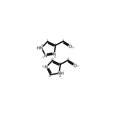 O=Cc1c[nH]nn1.O=[C]c1cnc[nH]1